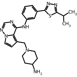 CC(C)c1nnc(-c2cccc(Nc3ncnn4ccc(CN5CCC(N)CC5)c34)c2)s1